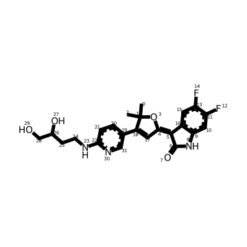 CC1(C)O/C(=C2/C(=O)Nc3cc(F)c(F)cc32)C=C1c1ccc(NCCC(O)CO)nc1